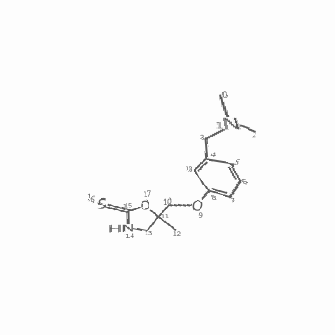 CN(C)Cc1cccc(OCC2(C)CNC(=S)O2)c1